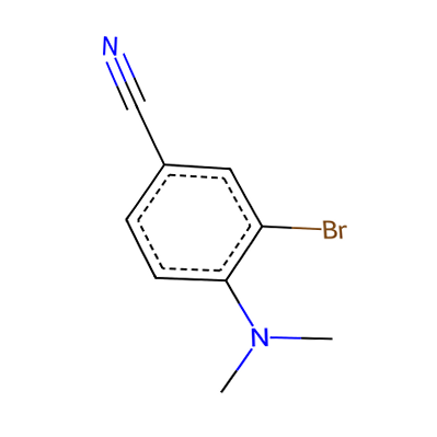 CN(C)c1ccc(C#N)cc1Br